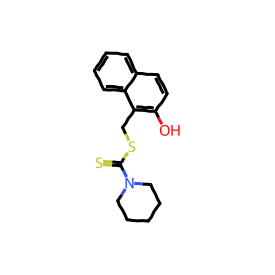 Oc1ccc2ccccc2c1CSC(=S)N1CCCCC1